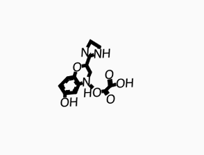 CN1CC(C2=NCCN2)Oc2ccc(O)cc21.O=C(O)C(=O)O